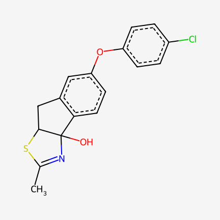 CC1=NC2(O)c3ccc(Oc4ccc(Cl)cc4)cc3CC2S1